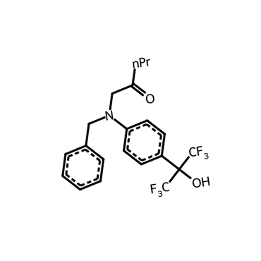 CCCC(=O)CN(Cc1ccccc1)c1ccc(C(O)(C(F)(F)F)C(F)(F)F)cc1